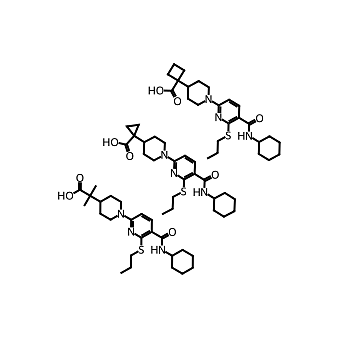 CCCSc1nc(N2CCC(C(C)(C)C(=O)O)CC2)ccc1C(=O)NC1CCCCC1.CCCSc1nc(N2CCC(C3(C(=O)O)CC3)CC2)ccc1C(=O)NC1CCCCC1.CCCSc1nc(N2CCC(C3(C(=O)O)CCC3)CC2)ccc1C(=O)NC1CCCCC1